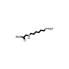 CCCCCCCCCCCCCNCC(=O)NC